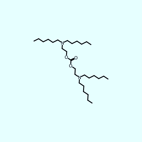 CCCCCCN(CCCCCC)CCOC(=O)OCCN(CCCCCC)CCCCCC